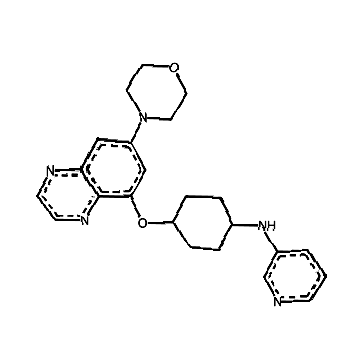 c1cncc(NC2CCC(Oc3cc(N4CCOCC4)cc4nccnc34)CC2)c1